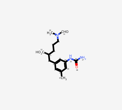 Cc1cc(CC(CCCN(C)C=O)C(=O)O)cc(NC(N)=O)c1